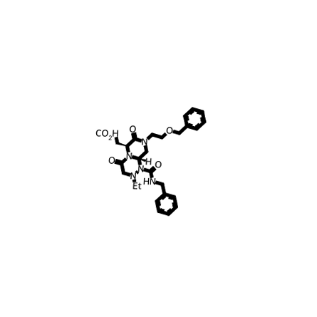 CCN1CC(=O)N2[C@@H](CC(=O)O)C(=O)N(CCOCc3ccccc3)C[C@@H]2N1C(=O)NCc1ccccc1